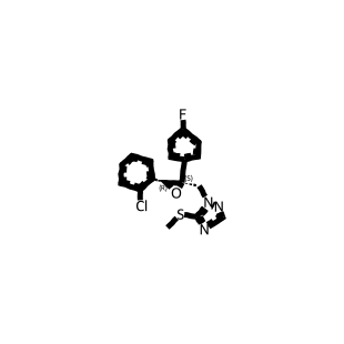 CSc1ncnn1C[C@]1(c2ccc(F)cc2)O[C@@H]1c1ccccc1Cl